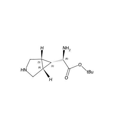 CC(C)(C)OC(=O)[C@H](N)[C@@H]1[C@@H]2CNC[C@@H]21